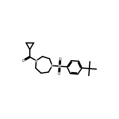 CC(C)(C)c1ccc(S(=O)(=O)N2CCCN(C(=O)C3CC3)CC2)cc1